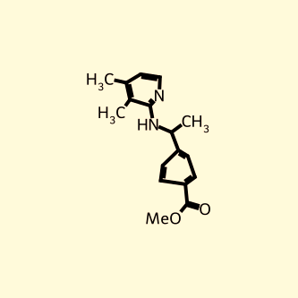 COC(=O)c1ccc(C(C)Nc2nccc(C)c2C)cc1